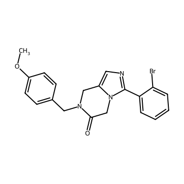 COc1ccc(CN2Cc3cnc(-c4ccccc4Br)n3CC2=O)cc1